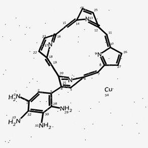 Nc1cc(C2=CC3=CC4=NC(=CC5=NC(=CC6=NC(=CC2=N3)C=C6)C=C5)C=C4)c(N)c(N)c1N.[Cu]